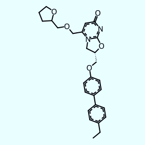 CCc1ccc(-c2ccc(OC[C@@H]3Cn4c(COCC5CCCO5)cc(=O)nc4O3)cc2)cc1